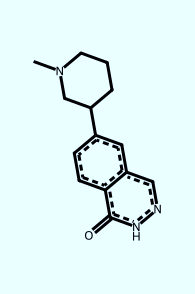 CN1CCCC(c2ccc3c(=O)[nH]ncc3c2)C1